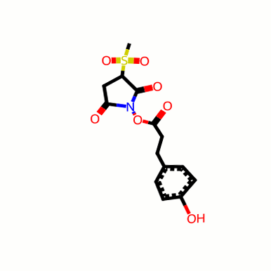 CS(=O)(=O)C1CC(=O)N(OC(=O)CCc2ccc(O)cc2)C1=O